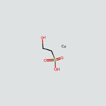 O=S(=O)(O)CCO.[Cu]